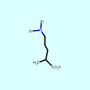 CCN([CH]CCC(C)C(=O)O)CC